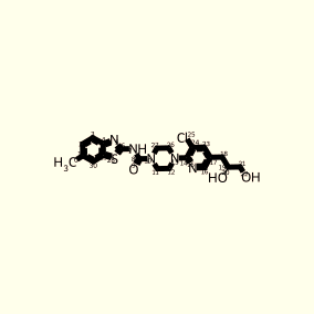 Cc1ccc2nc(NC(=O)N3CCN(c4ncc(C[C@@H](O)CO)cc4Cl)CC3)sc2c1